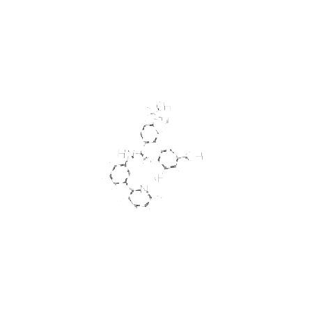 Cc1cc(F)cc(-c2cc(S(C)(=O)=O)ccc2C(=O)Nc2cccc(-c3ccccn3)c2)c1